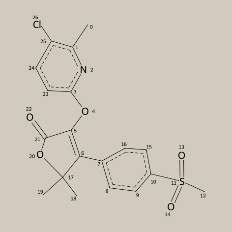 Cc1nc(OC2=C(c3ccc(S(C)(=O)=O)cc3)C(C)(C)OC2=O)ccc1Cl